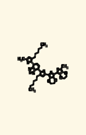 CCCCCCc1cc(C)sc1-c1ccc(-c2sc(-c3sc(-c4sc(C)c5c4OCCO5)c4c3OCCO4)cc2CCCCCC)c2nsnc12